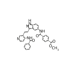 COC(=O)c1ccc(C(=O)Nc2ccc3[nH]nc(C=Cc4cnccc4NC(=O)c4ccccc4)c3c2)cc1